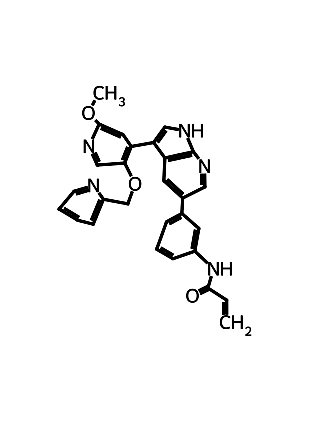 C=CC(=O)Nc1cccc(-c2cnc3[nH]cc(-c4cc(OC)ncc4OCc4ccccn4)c3c2)c1